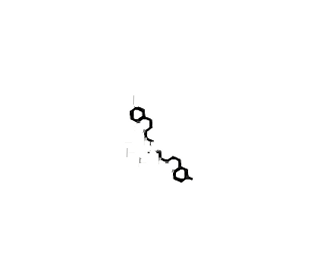 Cc1ccc2c(c1)CCC(C(O)CN(P)CC(O)C1CCc3cc(F)ccc3O1)O2